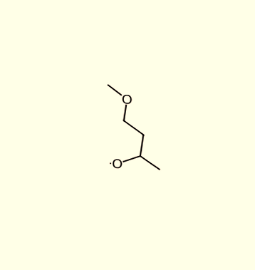 COCCC(C)[O]